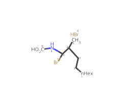 Br.CCCCCCCCC(C)C(Br)NC(=O)O